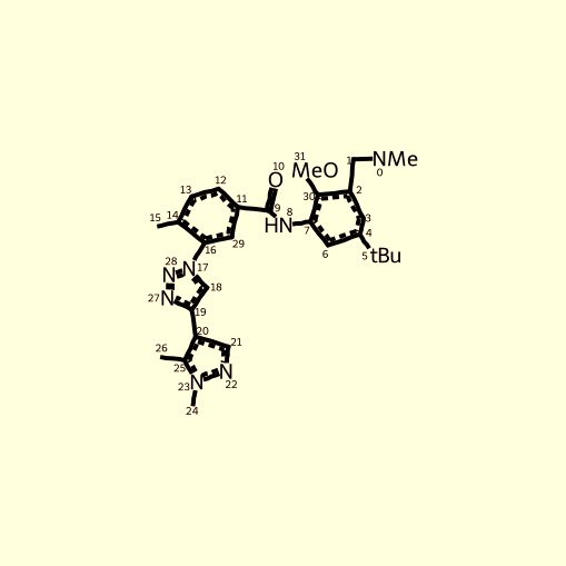 CNCc1cc(C(C)(C)C)cc(NC(=O)c2ccc(C)c(-n3cc(-c4cnn(C)c4C)nn3)c2)c1OC